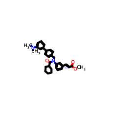 COC(=O)/C=C/c1cccc(N(Cc2ccc(-c3cccc(N(C)C)c3)cc2)C(=O)C2CCCCC2)c1